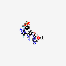 CCOC[C@H](C(=O)Nc1cccc2c(-c3nc(Nc4cccc(S(C)(=O)=O)c4F)ncc3F)c[nH]c12)N1CCN(C)CC1